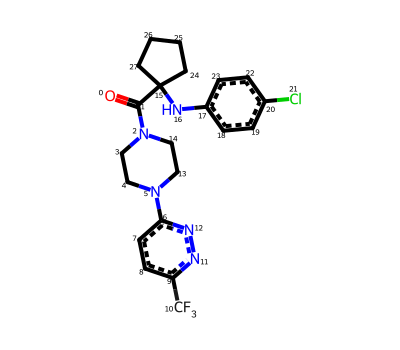 O=C(N1CCN(c2ccc(C(F)(F)F)nn2)CC1)C1(Nc2ccc(Cl)cc2)CCCC1